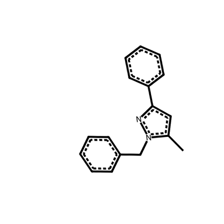 Cc1cc(-c2ccccc2)nn1Cc1ccccc1